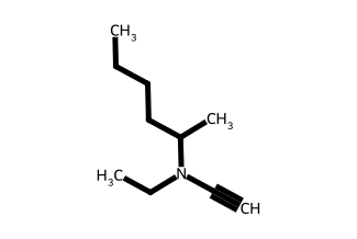 C#CN(CC)C(C)CCCC